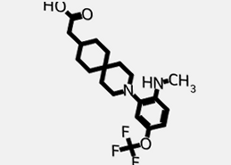 CNc1ccc(OC(F)(F)F)cc1N1CCC2(CCC(CC(=O)O)CC2)CC1